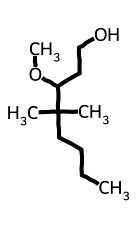 CCCCC(C)(C)C(CCO)OC